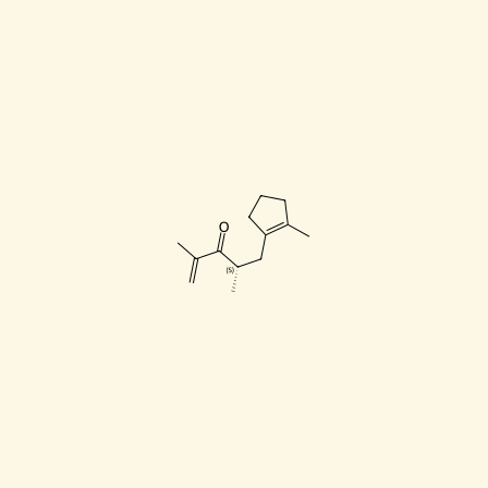 C=C(C)C(=O)[C@@H](C)CC1=C(C)CCC1